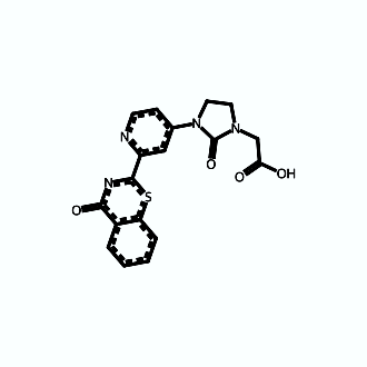 O=C(O)CN1CCN(c2ccnc(-c3nc(=O)c4ccccc4s3)c2)C1=O